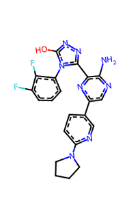 Nc1ncc(-c2ccc(N3CCCC3)nc2)nc1-c1nnc(O)n1-c1cccc(F)c1F